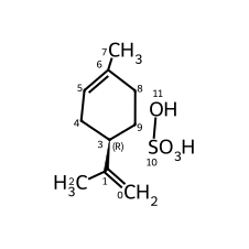 C=C(C)[C@H]1CC=C(C)CC1.O=S(=O)(O)O